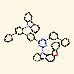 c1ccc(-c2cccc(-c3nc(-c4ccc(-c5cc(-c6ccccc6)ccc5-n5c6ccccc6c6ccccc65)cc4)nc(-n4c5ccccc5c5ccc6oc7ccccc7c6c54)n3)c2)cc1